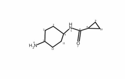 NC1CCC(NC(=O)C2CC2)CC1